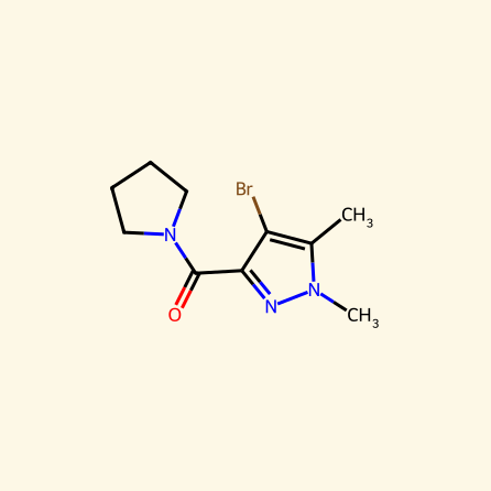 Cc1c(Br)c(C(=O)N2CCCC2)nn1C